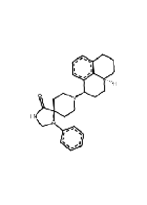 O=C1NCN(c2ccccc2)C12CCN([C@@H]1CC[C@@H]3CCCc4cccc1c43)CC2